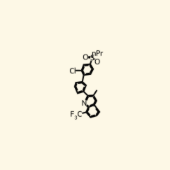 CCCS(=O)(=O)c1ccc(-c2cccc(-c3nc4c(C(F)(F)F)cccc4cc3C)c2)c(Cl)c1